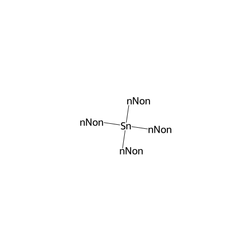 CCCCCCCC[CH2][Sn]([CH2]CCCCCCCC)([CH2]CCCCCCCC)[CH2]CCCCCCCC